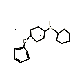 c1ccc(OC2CCC(NC3CCCCC3)CC2)cc1